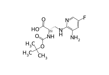 CC(C)(C)OC(=O)N[C@@H](CNc1ncc(F)cc1N)C(=O)O